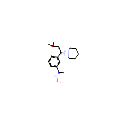 C/C(=N\O)c1ccc2c(c1)[C@@H](N1CCCCC1)[C@H](O)C(C)(C)O2